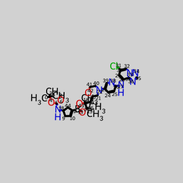 CC(C)(C)OC(=O)NC1CC=C(B2OC(C)(C)C(C)(CC3CN(c4ccc(Nc5cc(Cl)cn6ncnc56)nc4)CCO3)O2)C1